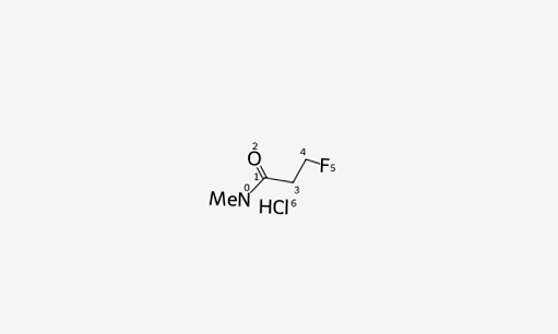 CNC(=O)CCF.Cl